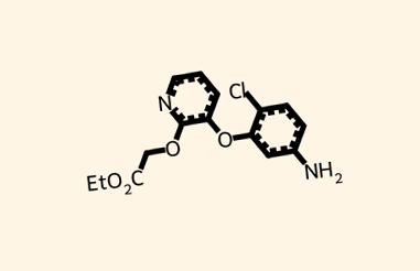 CCOC(=O)COc1ncccc1Oc1cc(N)ccc1Cl